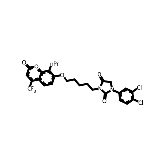 CCCc1c(OCCCCCN2C(=O)CN(c3ccc(Cl)c(Cl)c3)C2=O)ccc2c(C(F)(F)F)cc(=O)oc12